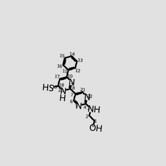 OCCNc1ncc(C2=NC(c3ccccc3)=CC(S)N2)cn1